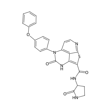 O=C(NC1CCNC1=O)c1sc2nccc3c2c1NC(=O)N3c1ccc(Oc2ccccc2)cc1